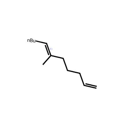 C=CCCC/C(C)=C/CCCC